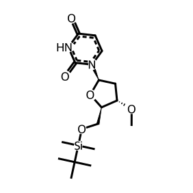 CO[C@H]1C[C@H](n2ccc(=O)[nH]c2=O)O[C@@H]1CO[Si](C)(C)C(C)(C)C